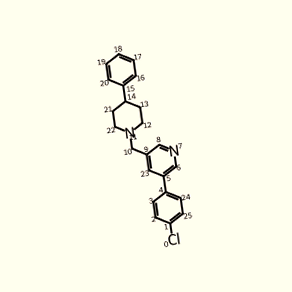 Clc1ccc(-c2cncc(CN3CCC(c4ccccc4)CC3)c2)cc1